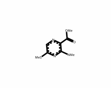 CNc1nc(SC)cnc1C(=O)OC